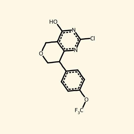 Oc1nc(Cl)nc2c1COCC2c1ccc(OC(F)(F)F)cc1